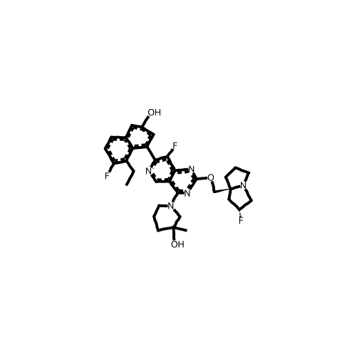 CCc1c(F)ccc2cc(O)cc(-c3ncc4c(N5CCCC(C)(O)C5)nc(OC[C@@]56CCCN5C[C@H](F)C6)nc4c3F)c12